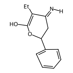 [H]/N=C1\CC(c2ccccc2)OC(O)=C1CC